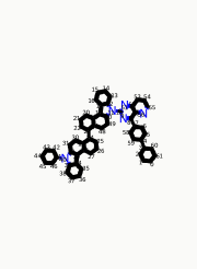 c1ccc(-c2ccc(-c3nc(-n4c5ccccc5c5c6cccc(-c7cccc8c7ccc7c8c8ccccc8n7-c7ccccc7)c6ccc54)nc4cccnc34)cc2)cc1